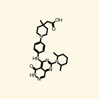 CC1CCCC(C)N1c1nc(Nc2ccc(N3CCC(C)(CC(=O)O)CC3)cc2)c2c(=O)[nH]ncc2n1